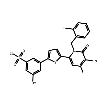 CCS(=O)(=O)c1cc(-c2ccc(-c3cc(C(F)(F)F)c(C#N)c(=O)n3Cc3ccccc3Cl)s2)cc(C(C)C)c1